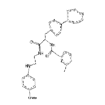 COc1ccc(NCCNC(=O)C(Cc2ccc(-c3ccncc3)cc2)NC(=O)c2cccc(C)c2)cc1